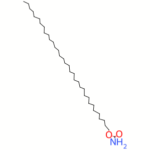 CCCCCCCCCCCCCCCCCCCCCCCCCCCCCCCCCCOC(N)=O